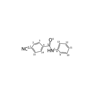 N#Cc1ccc(C(=O)Nc2[c]cccc2)cc1